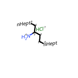 CCCCCCCCCC(N)CCCCCCCC.Cl